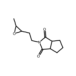 CC1OC1CCN1C(=O)C2CCCC2C1=O